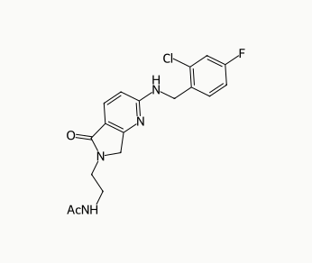 CC(=O)NCCN1Cc2nc(NCc3ccc(F)cc3Cl)ccc2C1=O